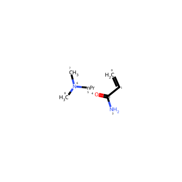 C=CC(N)=O.CCCN(C)C